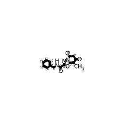 CC1=C2OC(C(=O)NCc3ccccc3)=NN2C(=O)CC1=O